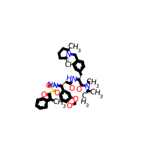 Cc1c(S(=O)(=O)N[C@H](CC(=O)N[C@H](Cc2ccc(CN3[C@H](C)CCC[C@@H]3C)cc2)C(=O)N(C)C(C)C)c2ccc3c(c2)OCO3)oc2ccccc12